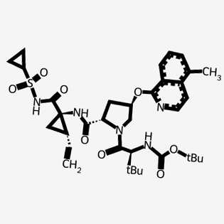 C=C[C@@H]1C[C@]1(NC(=O)[C@@H]1C[C@@H](Oc2nccc3c(C)cccc23)CN1C(=O)[C@@H](NC(=O)OC(C)(C)C)C(C)(C)C)C(=O)NS(=O)(=O)C1CC1